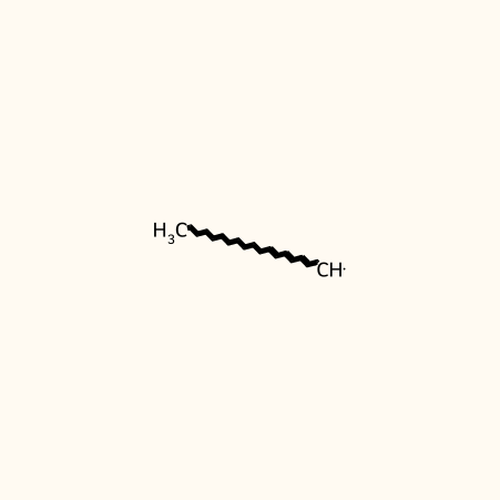 [CH]=C/C=C/C=C/C=C/CCCCCCCCCCC